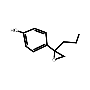 CCCC1(c2ccc(O)cc2)CO1